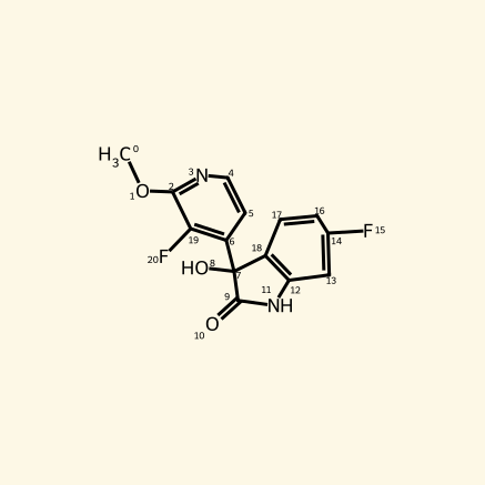 COc1nccc(C2(O)C(=O)Nc3cc(F)ccc32)c1F